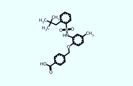 Cc1ccc(OCc2ccc(C(=O)O)cc2)c(NS(=O)(=O)c2ccccc2CC(C)(C)C)c1